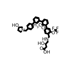 CC1(C)C(c2cccc(-c3ccc(CN4CC[C@@H](O)C4)cc3)c2)=CC=CC1c1ccc(CNC[C@@H](O)CC(=O)O)c(OC(F)(F)F)c1